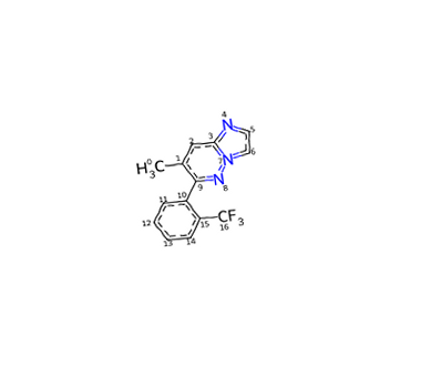 Cc1cc2nccn2nc1-c1ccccc1C(F)(F)F